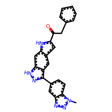 Cn1nnc2cc(-c3n[nH]c4cc5[nH]c(C(=O)Cc6ccccc6)cc5cc34)ccc21